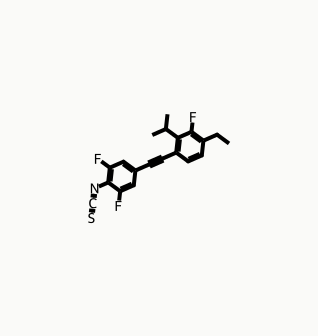 CCc1ccc(C#Cc2cc(F)c(N=C=S)c(F)c2)c(C(C)C)c1F